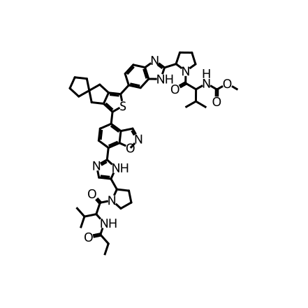 CCC(=O)NC(C(=O)N1CCCC1c1cnc(-c2ccc(-c3sc(-c4ccc5nc(C6CCCN6C(=O)C(NC(=O)OC)C(C)C)[nH]c5c4)c4c3CC3(CCCC3)C4)c3cnoc23)[nH]1)C(C)C